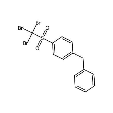 O=S(=O)(c1ccc(Cc2ccccc2)cc1)C(Br)(Br)Br